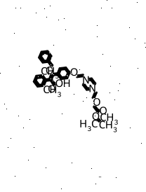 Cc1cccc(C)c1/C(C(=O)O)=C(\OCc1ccccc1)C1CCC(OCCN2CCN(CCOCC(=O)OC(C)(C)C)CC2)CC1